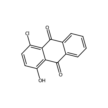 O=C1c2ccccc2C(=O)c2c(Cl)ccc(O)c21